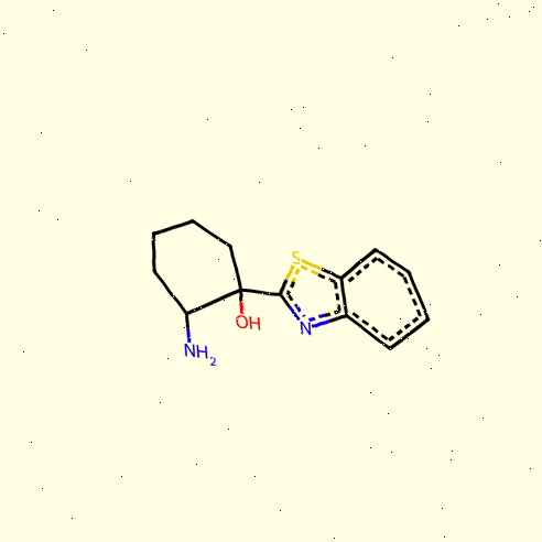 NC1CCCCC1(O)c1nc2ccccc2s1